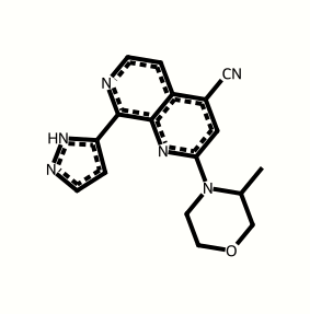 CC1COCCN1c1cc(C#N)c2ccnc(-c3ccn[nH]3)c2n1